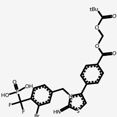 CC(C)(C)C(=O)OCOC(=O)c1ccc(-c2csc(=N)n2Cc2ccc(C(F)(F)P(=O)(O)O)c(Br)c2)cc1